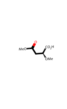 COC(=O)C[C@H](OC)C(=O)O